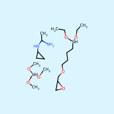 CC(N)NC1CC1.CCO[SiH](CCCCOCC1CO1)OCC.CO[SiH](OC)OC